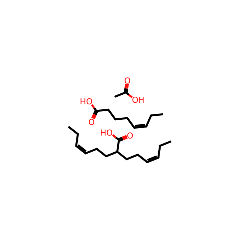 CC(=O)O.CC/C=C\CCC(CC/C=C\CC)C(=O)O.CC/C=C\CCCC(=O)O